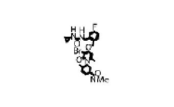 CNC(=O)c1ccc(C)c(-n2c(C)cc(OCc3ccc(F)cc3CNC(=O)NC3CC3)c(Br)c2=O)c1